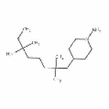 CCC(C)(C)CCCC(C)(C)CC1CCN(N)CC1